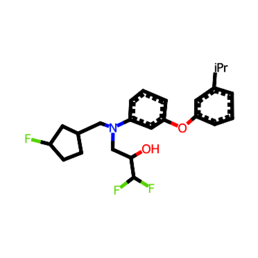 CC(C)c1cccc(Oc2cccc(N(CC3CCC(F)C3)CC(O)C(F)F)c2)c1